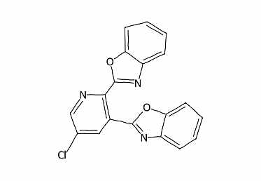 Clc1cnc(-c2nc3ccccc3o2)c(-c2nc3ccccc3o2)c1